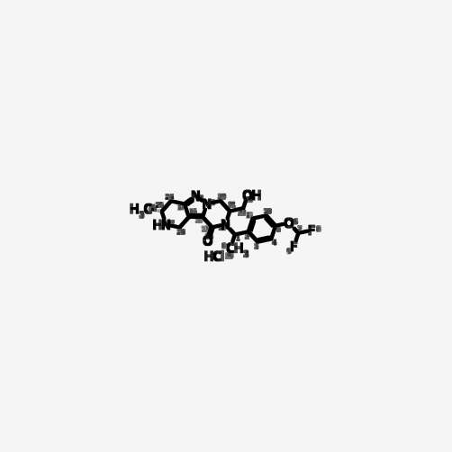 CC(c1ccc(OC(F)F)cc1)N1C(=O)c2c3c(nn2CC1CO)C[C@@H](C)NC3.Cl